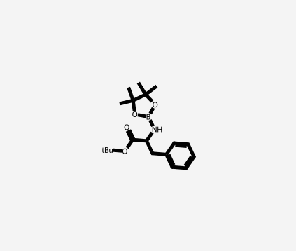 CC(C)(C)OC(=O)C(Cc1ccccc1)NB1OC(C)(C)C(C)(C)O1